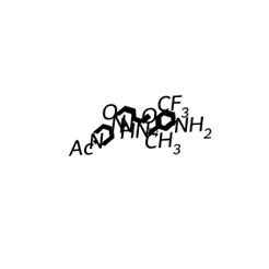 CC(=O)N1CCC(n2nc(C(=O)N[C@H](C)c3cc(N)cc(C(F)(F)F)c3)ccc2=O)CC1